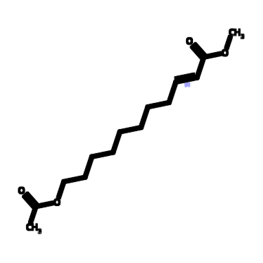 COC(=O)/C=C/CCCCCCCCOC(C)=O